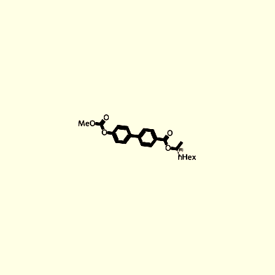 CCCCCC[C@@H](C)OC(=O)c1ccc(-c2ccc(OC(=O)OC)cc2)cc1